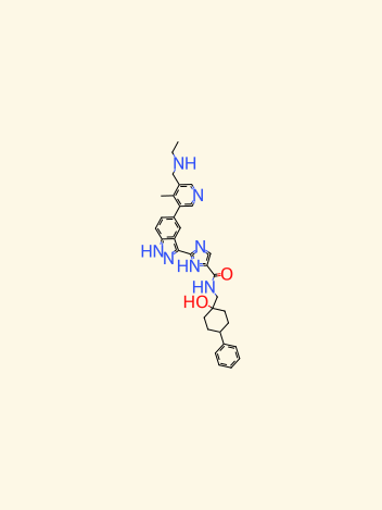 CCNCc1cncc(-c2ccc3[nH]nc(-c4ncc(C(=O)NCC5(O)CCC(c6ccccc6)CC5)[nH]4)c3c2)c1C